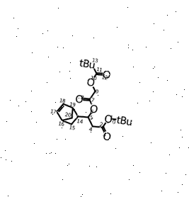 CC(C)(C)OC(=O)CC(OC(=O)COC(=O)C(C)(C)C)C1CC2C=CC1C2